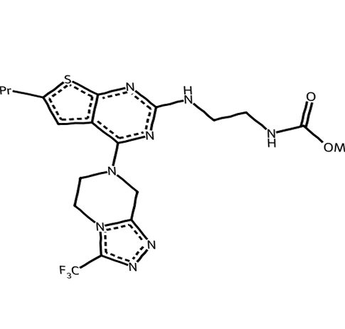 CCCc1cc2c(N3CCn4c(nnc4C(F)(F)F)C3)nc(NCCNC(=O)OC)nc2s1